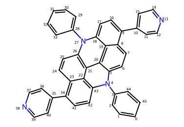 c1ccc(-n2c3ccc4c(-c5ccncc5)ccc5c4c3-c3c4c(ccc3n5-c3ccccc3)c(-c3ccncc3)ccc42)cc1